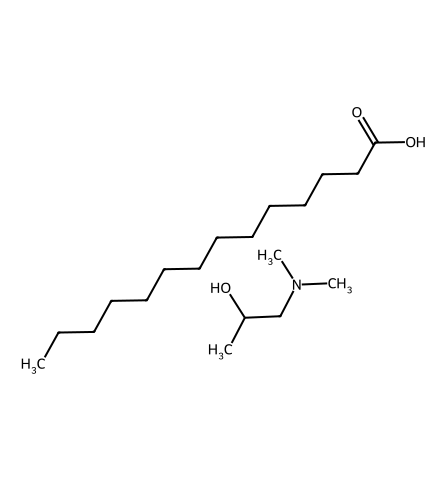 CC(O)CN(C)C.CCCCCCCCCCCCCC(=O)O